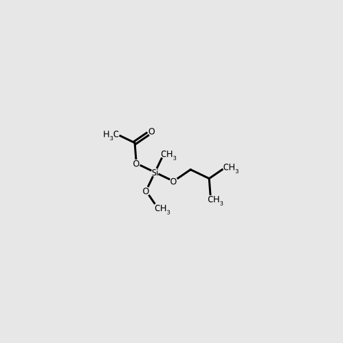 CO[Si](C)(OCC(C)C)OC(C)=O